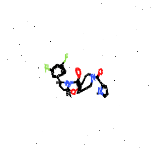 Cn1cccc1C(=O)N1CCC2(CC1)O[C@@H]1CC[C@@H](c3cc(F)cc(F)c3)N1C2=O